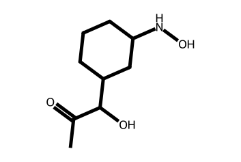 CC(=O)C(O)C1CCCC(NO)C1